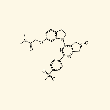 CN(C)C(=O)COc1ccc2c(c1)N(c1nc(-c3ccc(S(C)(=O)=O)cc3)nc3c1C[S+]([O-])C3)CC2